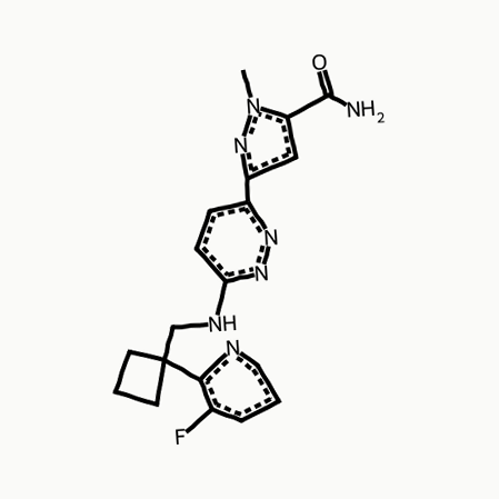 Cn1nc(-c2ccc(NCC3(c4ncccc4F)CCC3)nn2)cc1C(N)=O